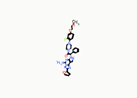 COCCOc1ccc(N2CCN(C(=O)[C@H](c3ccccc3)n3ncc4c3nc(N)n3nc(-c5ccco5)nc43)CC2)c(F)c1